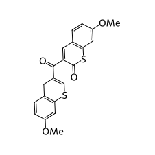 COc1ccc2c(c1)SC=C(C(=O)c1cc3ccc(OC)cc3sc1=O)C2